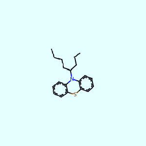 CCCCC(CCC)N1c2ccccc2Sc2ccccc21